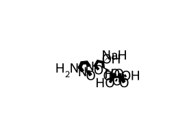 Nc1ccn([C@H]2C[C@H](O)[C@@H](COP(=O)(O)OP(=O)(O)O)O2)c(=O)n1.[NaH]